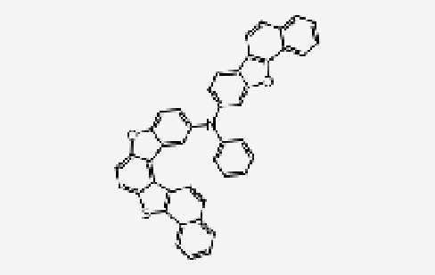 c1ccc(N(c2ccc3c(c2)oc2c4ccccc4ccc32)c2ccc3oc4ccc5sc6c7ccccc7ccc6c5c4c3c2)cc1